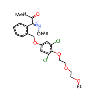 CCOCCOCCOc1c(Cl)cc(OCc2ccccc2/C(=N\OC)C(=O)NC)cc1Cl